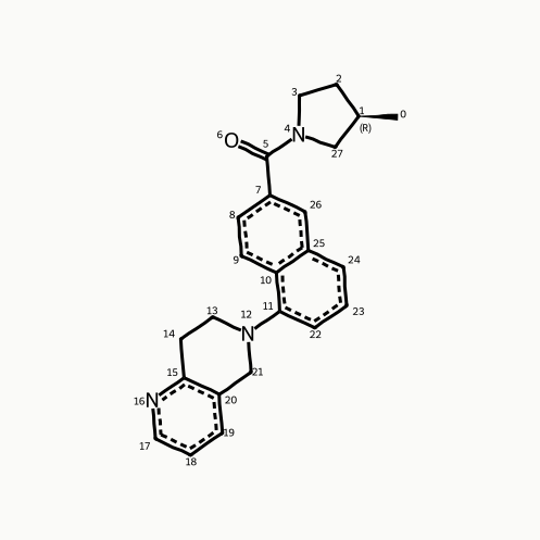 C[C@@H]1CCN(C(=O)c2ccc3c(N4CCc5ncccc5C4)cccc3c2)C1